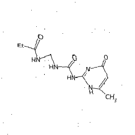 CCC(=O)NCNC(=O)Nc1nc(=O)cc(C)[nH]1